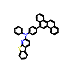 c1ccc(N(c2ccc(-c3cc4c5ccccc5ccc4c4ccccc34)cc2)c2ccc3c(n2)sc2ccccc23)cc1